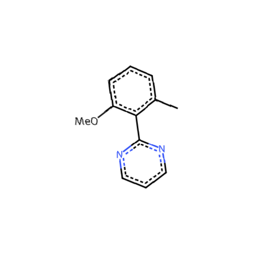 COc1cccc(C)c1-c1ncccn1